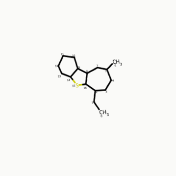 CCC1CCC(C)CC2C3CCCCC3SC12